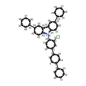 Clc1cc(-c2ccc(-c3ccccc3)cc2)ccc1-n1c2ccc(-c3ccccc3)cc2c2cc(-c3ccccc3)ccc21